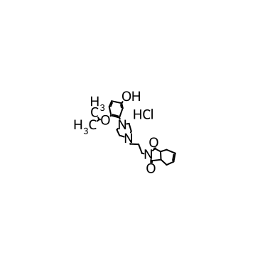 CC(C)Oc1ccc(O)cc1N1CCN(CCCN2C(=O)C3CC=CCC3C2=O)CC1.Cl